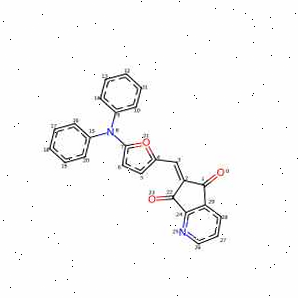 O=C1/C(=C/c2ccc(N(c3ccccc3)c3ccccc3)o2)C(=O)c2ncccc21